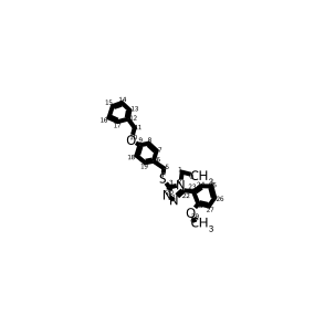 CCn1c(SCc2ccc(OCc3ccccc3)cc2)nnc1-c1ccccc1OC